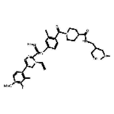 C=CN1CC(c2ccc(OC)c(F)c2F)=CN=C1/C(=N\CC)Nc1ccc(C(=O)N2CCC(C(=O)NCC(CO)CN(C)C)CC2)c(C)c1